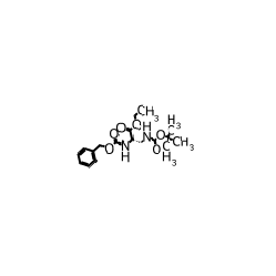 CCOC(=O)[C@H](CNC(=O)OC(C)(C)C)NC(=O)OCc1ccccc1